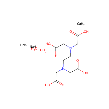 O.O.O=C(O)CN(CCN(CC(=O)O)CC(=O)O)CC(=O)O.[CaH2].[NaH].[NaH]